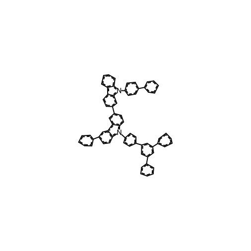 c1ccc(-c2ccc(-n3c4ccccc4c4ccc(-c5ccc6c(c5)c5cc(-c7ccccc7)ccc5n6-c5ccc(-c6cc(-c7ccccc7)cc(-c7ccccc7)c6)cc5)cc43)cc2)cc1